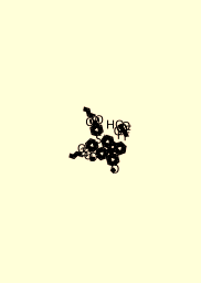 CCCCS(=O)(=O)c1ccc([S+](c2ccc(S(=O)(=O)CCCC)cc2)c2ccc3c(c2)C(c2ccc(OC)cc2)(c2ccc(OC)cc2)c2ccccc2-3)cc1.O=S(=O)(O)C(F)(F)F